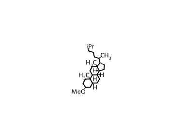 CO[C@H]1CC[C@@]2(C)[C@H](CC[C@@H]3[C@@H]2CC[C@]2(C)[C@@H]([C@H](C)CCCC(C)C)CC[C@@H]32)C1